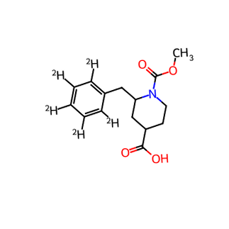 [2H]c1c([2H])c([2H])c(CC2CC(C(=O)O)CCN2C(=O)OC)c([2H])c1[2H]